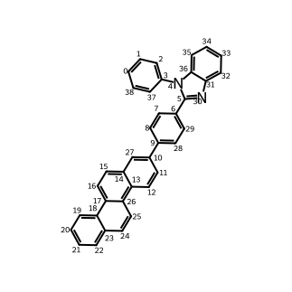 c1ccc(-n2c(-c3ccc(-c4ccc5c(ccc6c7ccccc7ccc56)c4)cc3)nc3ccccc32)cc1